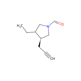 C#CC[C@@H]1CN(C=O)CC1CC